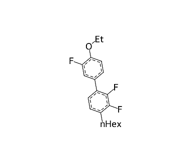 CCCCCCc1ccc(-c2ccc(OCC)c(F)c2)c(F)c1F